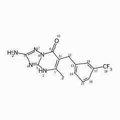 Cc1[nH]c2nc(N)nn2c(=O)c1Cc1cccc(C(F)(F)F)c1